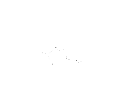 CC(=O)/C=C\NN